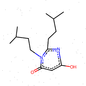 CC(C)CCc1nc(O)cc(=O)n1CCC(C)C